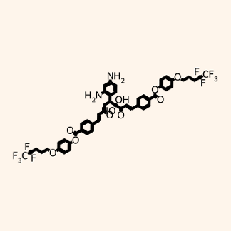 Nc1ccc(C(CC(=O)C=Cc2ccc(C(=O)Oc3ccc(OCCCC(F)(F)C(F)(F)F)cc3)cc2)C(O)(O)C(=O)C=Cc2ccc(C(=O)Oc3ccc(OCCCC(F)(F)C(F)(F)F)cc3)cc2)c(N)c1